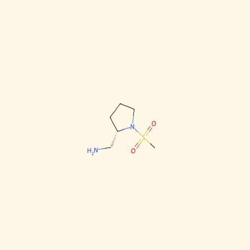 CS(=O)(=O)N1CCC[C@H]1CN